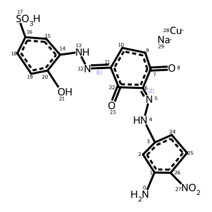 Nc1cc(N/N=c2/c(=O)cc/c(=N\Nc3cc(S(=O)(=O)O)ccc3O)c2=O)ccc1[N+](=O)[O-].[Cu].[Na]